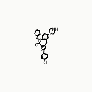 O=C1c2sc(-c3ccc(Cl)cc3)cc2Cc2cc(N3CCNCC3)ccc2N1Cc1ccccn1